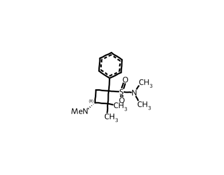 CN[C@@H]1CC(c2ccccc2)(S(=O)(=O)N(C)C)C1(C)C